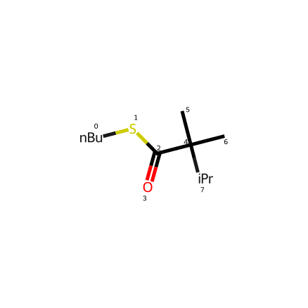 CCCCSC(=O)C(C)(C)C(C)C